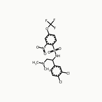 CN(C)CC(NS(=O)(=O)c1ccc(OC(F)(F)F)cc1[N+](=O)[O-])c1ccc(Cl)c(Cl)c1